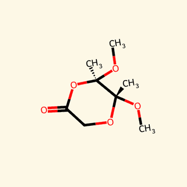 CO[C@]1(C)OCC(=O)O[C@@]1(C)OC